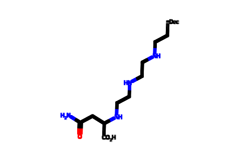 CCCCCCCCCCCCNCCNCCNC(CC(N)=O)C(=O)O